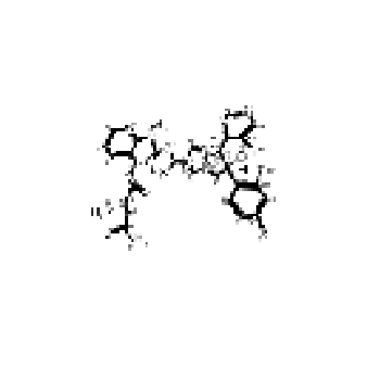 CC(OC(=O)N(C)c1ncccc1COC(=O)[C@@H](N)CC(N)=O)[n+]1cnn(C[C@](O)(c2ccc(F)cc2F)[C@@H](C)c2ncncc2F)c1